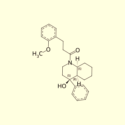 COc1ccccc1CCC(=O)N1CC[C@@](O)(c2ccccc2)[C@@H]2CCCC[C@@H]21